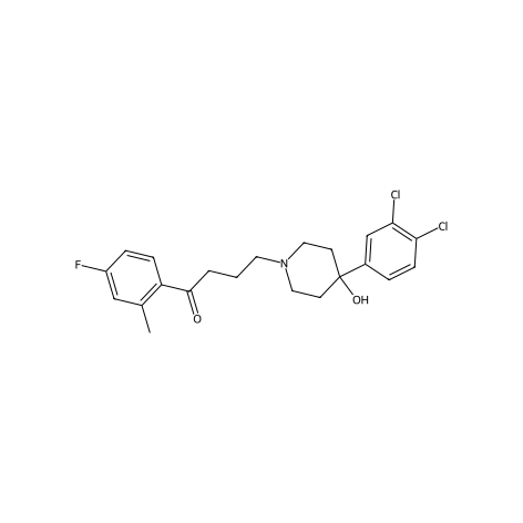 Cc1cc(F)ccc1C(=O)CCCN1CCC(O)(c2ccc(Cl)c(Cl)c2)CC1